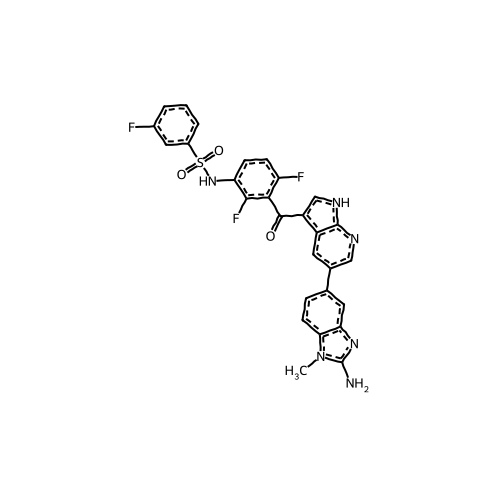 Cn1c(N)nc2cc(-c3cnc4[nH]cc(C(=O)c5c(F)ccc(NS(=O)(=O)c6cccc(F)c6)c5F)c4c3)ccc21